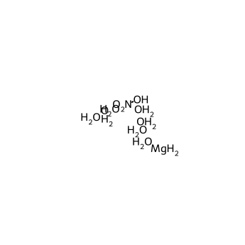 O.O.O.O.O.O.O.O=[N+]([O-])O.[MgH2]